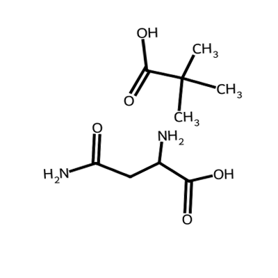 CC(C)(C)C(=O)O.NC(=O)CC(N)C(=O)O